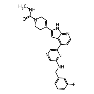 CNC(=O)N1CC=C(c2cc3c(-c4cncc(NCc5cccc(F)c5)n4)ccnc3[nH]2)CC1